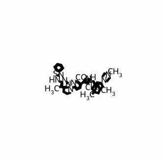 Cc1c(Nc2nc3ccccc3s2)nnc2c1CCCN2c1ccc(-c2cnn(CC34CC5(C)CC(C)(C3)CC(N3CCN(C)CC3)(C5)C4)c2C)c(C(=O)O)n1